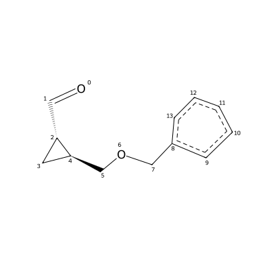 O=C[C@H]1C[C@@H]1COCc1ccccc1